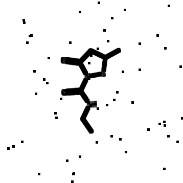 CCNC(=O)N1SC(C)CC1=O